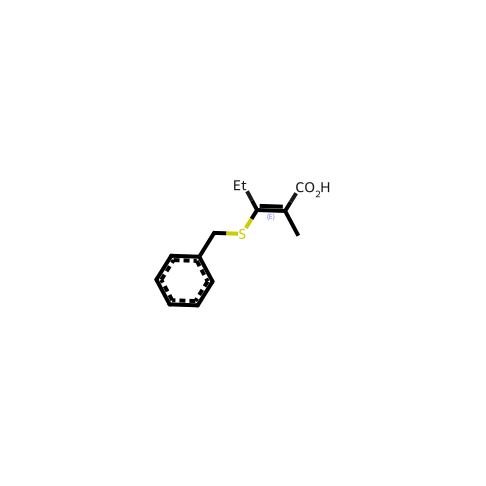 CC/C(SCc1ccccc1)=C(/C)C(=O)O